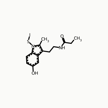 CCC(=O)NCCc1c(C)n(SI)c2ccc(O)cc12